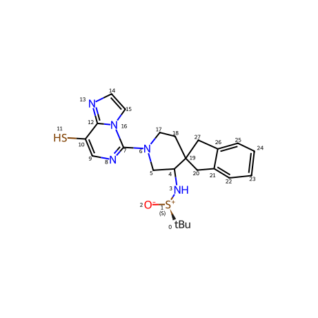 CC(C)(C)[S@@+]([O-])NC1CN(c2ncc(S)c3nccn23)CCC12Cc1ccccc1C2